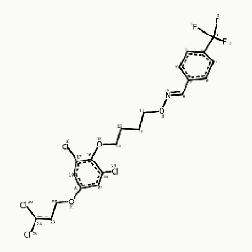 FC(F)(F)c1ccc(C=NOCCCCOc2c(Cl)cc(OCC=C(Cl)Cl)cc2Cl)cc1